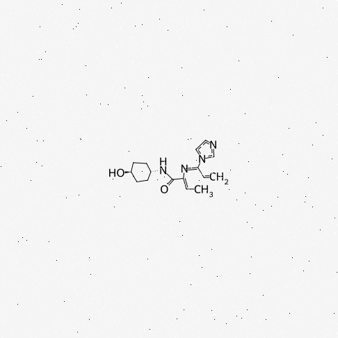 C=C/C(=N\C(=C/C)C(=O)N[C@H]1CC[C@H](O)CC1)n1ccnc1